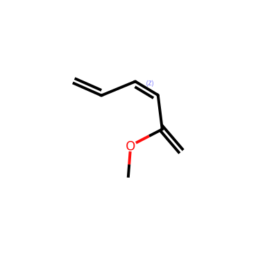 C=C/C=C\C(=C)OC